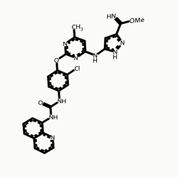 COC(=N)c1cc(Nc2cc(C)nc(Oc3ccc(NC(=O)Nc4cccc5cccnc45)cc3Cl)n2)[nH]n1